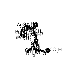 CC[C@H](C)[C@H](NC(=O)[C@H](C(C)C)N(C)C)C(=O)N(C)[C@H](C[C@@H](OC(C)=O)c1nc(C(=O)N[C@@H](Cc2ccccc2)C[C@H](C)C(=O)NOCc2ccc(NC(=O)[C@H](CCCNC(N)=O)NC(=O)[C@@H](NC(=O)CCCC(=O)N3CCC(C(=O)O)CC3)C(C)C)cc2)cs1)C(C)C